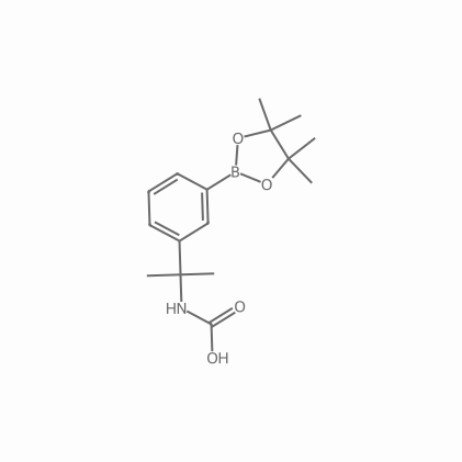 CC(C)(NC(=O)O)c1cccc(B2OC(C)(C)C(C)(C)O2)c1